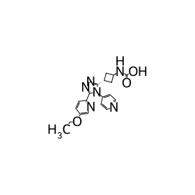 CCOc1ccc(-c2nnc([C@H]3C[C@H](NC(=O)O)C3)n2-c2ccncc2)nc1